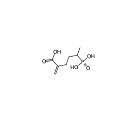 C=C(CCC(C)P(=O)(O)O)C(=O)O